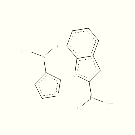 OB(O)c1cc2ccccc2o1.OB(O)c1ccsc1